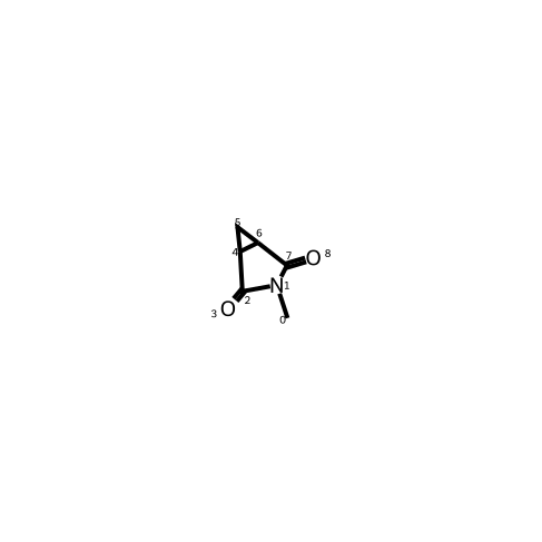 CN1C(=O)C2CC2C1=O